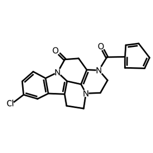 O=C(c1ccccc1)N1CCN2CCc3c4n(c5ccc(Cl)cc35)C(=O)CC1=C42